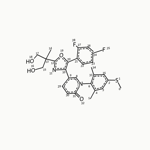 CSc1cc(C)c(-n2cc(-c3nc(C(C)(CO)CO)oc3-c3ccc(F)cc3F)ccc2=O)c(C)c1